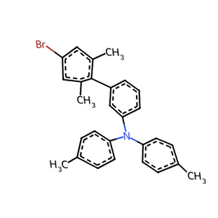 Cc1ccc(N(c2ccc(C)cc2)c2cccc(-c3c(C)cc(Br)cc3C)c2)cc1